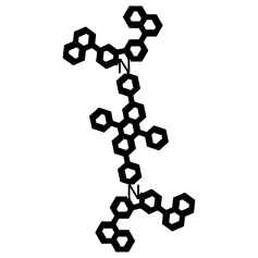 c1ccc(-c2c3ccc(-c4ccc(-n5c6ccc(-c7cccc8ccccc78)cc6c6cc(-c7cccc8ccccc78)ccc65)cc4)cc3c(-c3ccccc3)c3ccc(-c4ccc(-n5c6ccc(-c7cccc8ccccc78)cc6c6cc(-c7cccc8ccccc78)ccc65)cc4)cc23)cc1